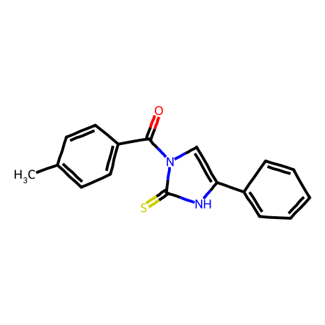 Cc1ccc(C(=O)n2cc(-c3ccccc3)[nH]c2=S)cc1